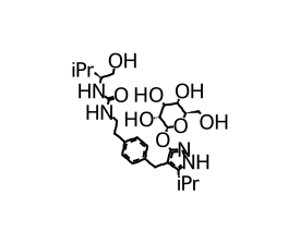 CC(C)c1[nH]nc(O[C@@H]2O[C@H](CO)[C@H](O)[C@H](O)[C@H]2O)c1Cc1ccc(CCNC(=O)N[C@H](CO)C(C)C)cc1